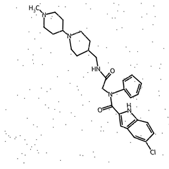 CN1CCC(N2CCC(CNC(=O)CN(C(=O)c3cc4cc(Cl)ccc4[nH]3)c3ccccc3)CC2)CC1